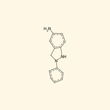 Nc1ccc2c(c1)CN(c1ccccc1)N2